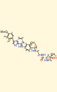 COc1ccc(-c2cnc3c(Nc4ccc(C(=O)NCCNC(=O)[C@@H]5C[C@](C)(O)CN5)c(C)c4)nccn23)c(F)c1F